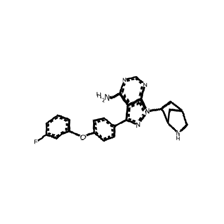 Nc1ncnc2c1c(-c1ccc(Oc3cccc(F)c3)cc1)nn2C1CC2CNC1C2